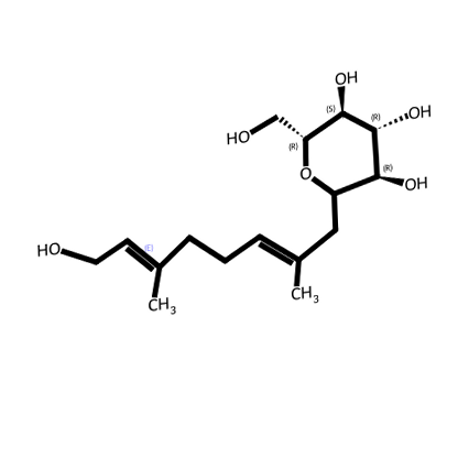 CC(=CCC/C(C)=C/CO)CC1O[C@H](CO)[C@@H](O)[C@H](O)[C@H]1O